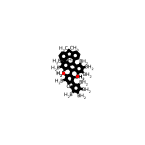 Bc1c(B)c(B)c2c(oc3c(B)c(B)c(-c4c5c(B)c(B)c(B)c(B)c5c(-c5cccc6c5-c5ccccc5C6(C)C)c5c(B)c(B)c(B)c(B)c45)c(B)c32)c1B